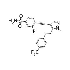 Cn1ncc(C#Cc2ccc(S(N)(=O)=O)cc2F)c1CCc1ccc(C(F)(F)F)cc1